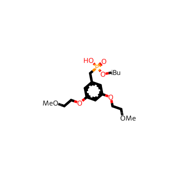 CCC(C)OP(=O)(O)Cc1cc(OCCOC)cc(OCCOC)c1